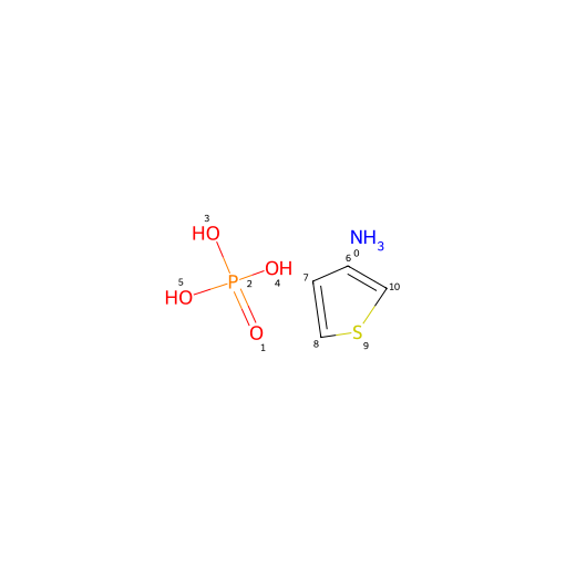 N.O=P(O)(O)O.c1ccsc1